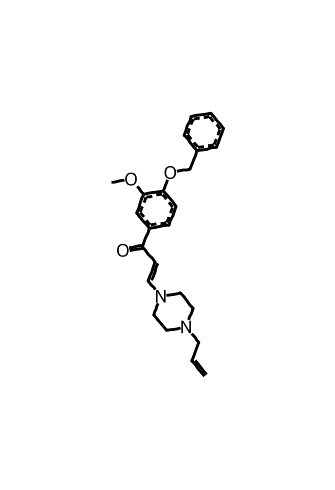 C=CCN1CCN(C=CC(=O)c2ccc(OCc3ccccc3)c(OC)c2)CC1